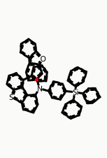 c1ccc(-c2cccc3sc4cccc(N(c5ccc([Si](c6ccccc6)(c6ccccc6)c6ccccc6)cc5)c5ccc6c(c5)oc5ccccc56)c4c23)cc1